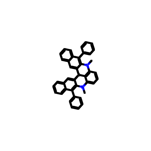 CN1c2cccc3c2B(c2cc4ccccc4c(-c4ccccc4)c21)c1cc2ccccc2c(-c2ccccc2)c1N3C